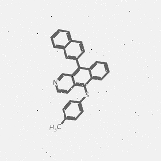 Cc1ccc(Sc2c3ccccc3c(-c3ccc4ccccc4c3)c3cnccc23)cc1